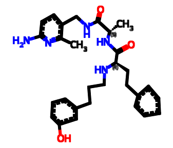 Cc1nc(N)ccc1CNC(=O)[C@H](C)NC(=O)[C@@H](CCc1ccccc1)NCCCc1cccc(O)c1